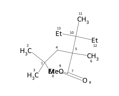 CCC(C)(C)CC(C)(C(=O)OC)C(C)(CC)CC